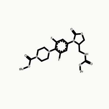 CC(C)OC(=O)NCC1COC(=O)N1c1cc(F)c(N2CCN(C(=O)OC(C)(C)C)CC2)c(F)c1